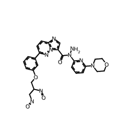 NN(C(=O)c1cnc2ccc(-c3cccc(OCC(CN=O)N=O)c3)nn12)c1cccc(N2CCOCC2)n1